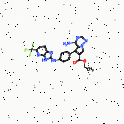 CCOC(=O)c1cn2ncnc(N)c2c1-c1ccc(Nc2nc3ccc(C(F)(F)F)nc3[nH]2)cc1